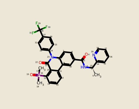 C[C@H](NC(=O)c1ccc2c(c1)c1cccc(P(C)(C)=O)c1c(=O)n2-c1ccc(C(F)(F)F)cc1)c1ccccn1